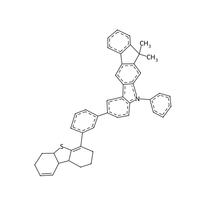 CC1(C)c2ccccc2-c2cc3c4cc(-c5cccc(C6=C7SC8CCC=CC8C7CCC6)c5)ccc4n(-c4ccccc4)c3cc21